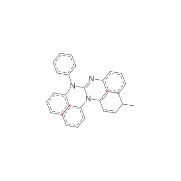 CC1C=CC(N(/C(=N\c2ccccc2)N(c2ccccc2)c2ccccc2)c2ccccc2)=CC1